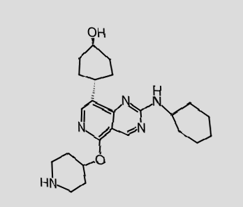 O[C@H]1CC[C@H](c2cnc(OC3CCNCC3)c3cnc(NC4CCCCC4)nc32)CC1